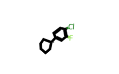 Fc1cc([C]2CCCCC2)ccc1Cl